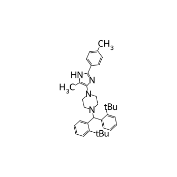 Cc1ccc(-c2nc(N3CCN(C(c4ccccc4C(C)(C)C)c4ccccc4C(C)(C)C)CC3)c(C)[nH]2)cc1